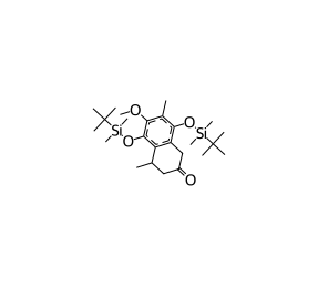 COc1c(C)c(O[Si](C)(C)C(C)(C)C)c2c(c1O[Si](C)(C)C(C)(C)C)C(C)CC(=O)C2